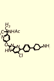 CC(=O)NC(C)(C)c1ccc(Oc2nc3nc(-c4ccc(C5=CCC(N)CC5)cc4)c(Cl)cc3[nH]2)cn1